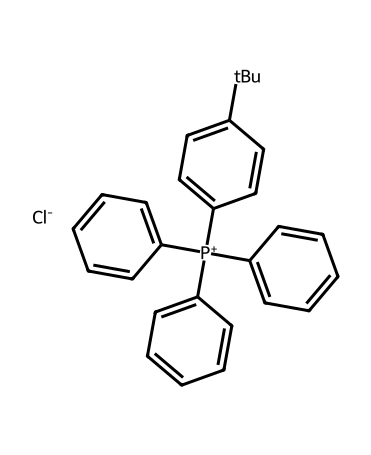 CC(C)(C)c1ccc([P+](c2ccccc2)(c2ccccc2)c2ccccc2)cc1.[Cl-]